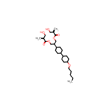 C=C(CO)C(=O)OCC(COC(=O)C(=C)CO)C1CCC(C2CCC(OCCCCC)CC2)CC1